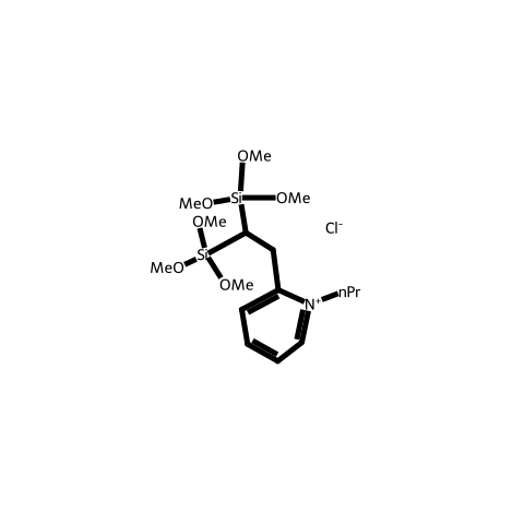 CCC[n+]1ccccc1CC([Si](OC)(OC)OC)[Si](OC)(OC)OC.[Cl-]